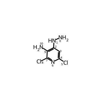 NNc1cc(Cl)nc(Cl)c1N